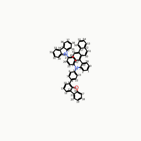 c1ccc(N(c2ccc(-c3cccc4c3oc3ccccc34)cc2)c2ccc(-n3c4ccccc4c4ccccc43)cc2)c(-c2cccc3c2ccc2ccccc23)c1